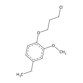 C[CH]c1ccc(OCCCCl)c(OC)c1